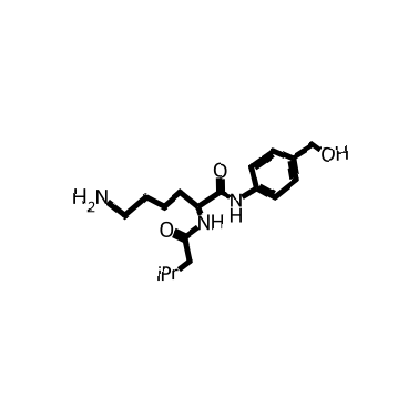 CC(C)CC(=O)NC(CCCCN)C(=O)Nc1ccc(CO)cc1